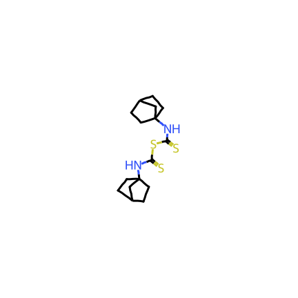 S=C(NC12CCC(CC1)C2)SC(=S)NC12CCC(CC1)C2